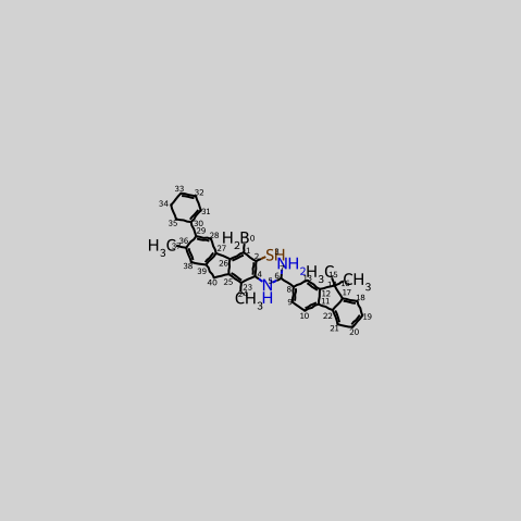 Bc1c(S)c(NC(N)c2ccc3c(c2)C(C)(C)c2ccccc2-3)c(C)c2c1-c1cc(C3=CC=CCC3)c(C)cc1C2